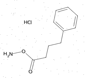 Cl.NOC(=O)CCCc1ccccc1